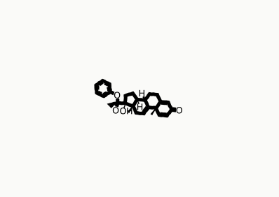 C[C@]12C=CC(=O)C=C1CC[C@@H]1C2=CC[C@@]2(C)[C@H]1CC[C@]2(O)C1(Oc2ccccc2)CO1